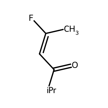 C/C(F)=C\C(=O)C(C)C